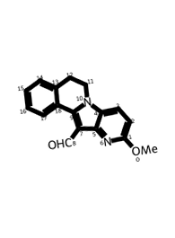 COc1ccc2c(n1)c(C=O)c1n2CCc2ccccc2-1